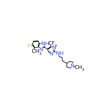 Cc1c(F)ccc2[nH]c(-c3cnc(NCCCC4CCN(C)CC4)nc3C(F)(F)F)nc12